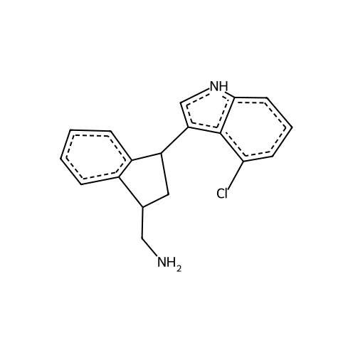 NCC1CC(c2c[nH]c3cccc(Cl)c23)c2ccccc21